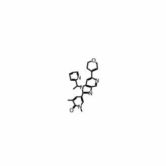 Cc1cc(-c2nc3cnc(C4=CCOCC4)cc3n2C(C)c2ccccn2)cn(C)c1=O